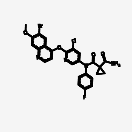 COc1cc2nccc(Oc3ncc(N(C(=O)C4(C(N)=O)CC4)c4ccc(F)cc4)cc3Cl)c2cc1Br